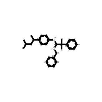 CC(C)CC(C)c1ccc(OC(OCc2ccccc2)C(C)(C)c2ccccc2)cc1